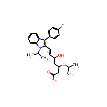 CC(C)OC(CC(=O)O)CC(O)/C=C/c1c(-c2ccc(F)cc2)c2ccccc2n1C(C)C